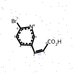 O=C(O)/C=C\c1ccc(Br)nc1